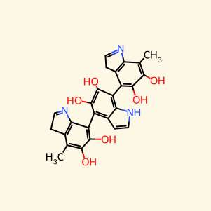 Cc1c(O)c(O)c(-c2c(O)c(O)c(-c3c(O)c(O)c(C)c4c3CC=N4)c3[nH]ccc23)c2c1CC=N2